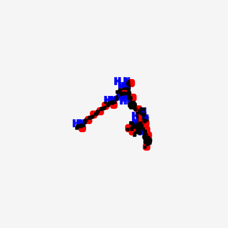 CCC(=O)NCCOCCOCCOCCOCCC(=O)NCCN[C@H](C(=O)NC(CCCNC(N)=O)C(=O)Nc1ccc(COC(=O)N(C)CCN(C)C(=O)Oc2cc3c(c4c(C(=O)OC)c(C)[nH]c24)[C@H](CC)CN3C(=O)c2cc3cc(OC)ccc3o2)cc1)C(C)C